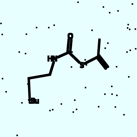 C=C(C)SC(=O)NCCC(C)(C)C